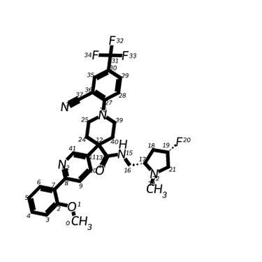 COc1ccccc1-c1ccc(C2(C(=O)NC[C@@H]3C[C@H](F)CN3C)CCN(c3ccc(C(F)(F)F)cc3C#N)CC2)cn1